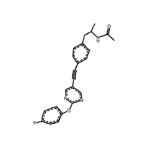 CC(=O)NC(C)Cc1ccc(C#Cc2cnc(Oc3ccc(F)cc3)nc2)cc1